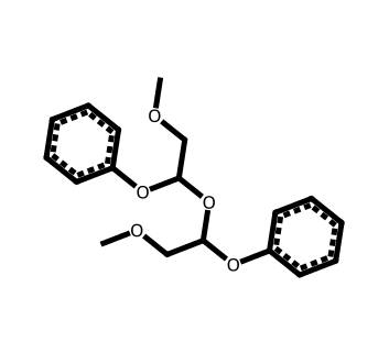 COCC(Oc1ccccc1)OC(COC)Oc1ccccc1